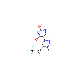 COc1ncc(-c2cc(C3CC3C(F)(F)F)c(C)nn2)c(OC)n1